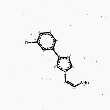 O=C/C=C\n1cnc(-c2cccc(Cl)c2)n1